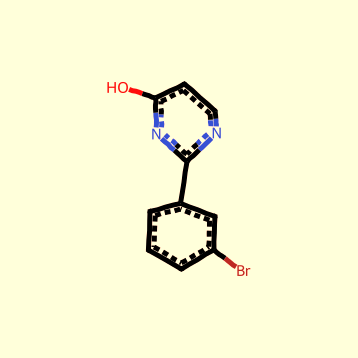 Oc1ccnc(-c2cccc(Br)c2)n1